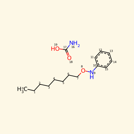 CCCCCCCCONc1ccccc1.NC(=O)O